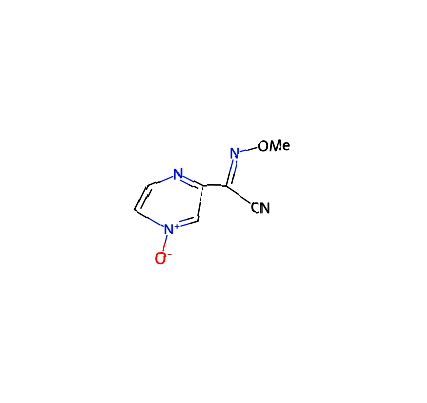 CON=C(C#N)c1c[n+]([O-])ccn1